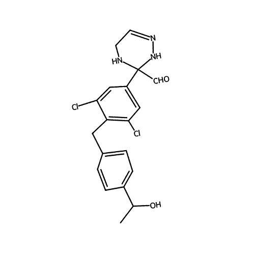 CC(O)c1ccc(Cc2c(Cl)cc(C3(C=O)NCC=NN3)cc2Cl)cc1